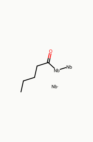 CCCC[C](=O)[Nb][Nb].[Nb]